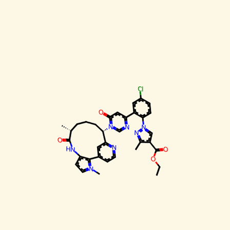 CCOC(=O)c1cn(-c2ccc(Cl)cc2-c2cc(=O)n([C@H]3CCC[C@@H](C)C(=O)Nc4ccn(C)c4-c4ccnc3c4)cn2)nc1C